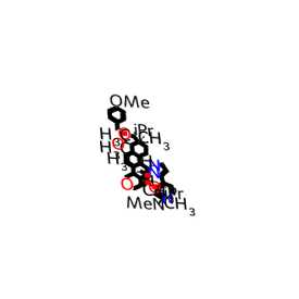 CN[C@@](C)(CO[C@H]1[C@H](n2nccc2-c2ccncc2)C[C@@]23COC[C@@]1(C)[C@@H]2CC[C@H]1C3=CC[C@@]2(C)[C@H](C(=O)OCc3ccc(OC)cc3)[C@@](C)([C@H](C)C(C)C)CC[C@]12C)C(C)C